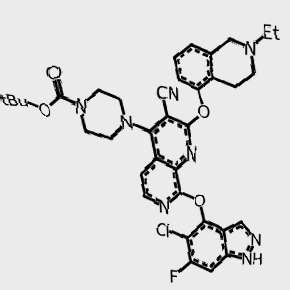 CCN1CCc2c(cccc2Oc2nc3c(Oc4c(Cl)c(F)cc5[nH]ncc45)nccc3c(N3CCN(C(=O)OC(C)(C)C)CC3)c2C#N)C1